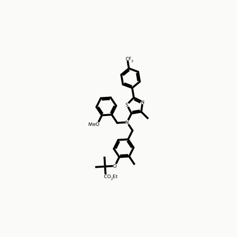 CCOC(=O)C(C)(C)Oc1ccc(CN(Cc2ccccc2OC)c2sc(-c3ccc(C(F)(F)F)cc3)nc2C)cc1C